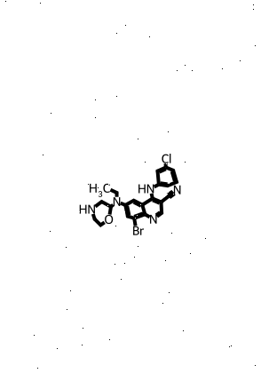 CCN(c1cc(Br)c2ncc(C#N)c(Nc3cccc(Cl)c3)c2c1)C1CNCCO1